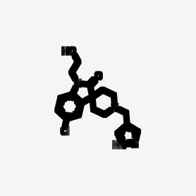 O=C1N(CCO)c2ccc(Cl)cc2C12CCN(Cc1cn[nH]c1)CC2